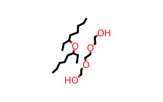 CCCCCC(CC)OC(CC)CCCCC.OCCOCCOCCO